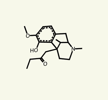 CCC(=O)CC12CCN(C)C(Cc3ccc(OC)c(O)c31)C2C